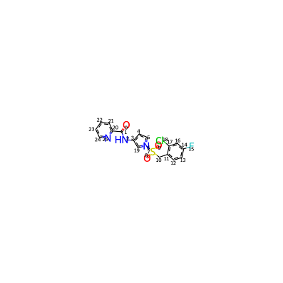 O=C(Nc1ccn(S(=O)(=O)Cc2ccc(F)cc2Cl)c1)c1ccccn1